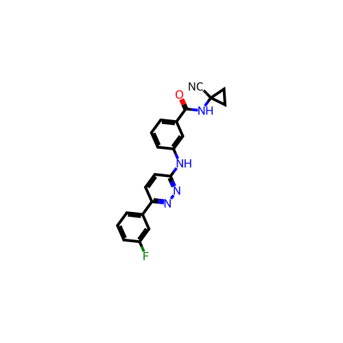 N#CC1(NC(=O)c2cccc(Nc3ccc(-c4cccc(F)c4)nn3)c2)CC1